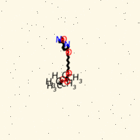 CC(C)(C)OC(=O)C(C)(C)OCCCCCCCOc1ccc(-c2cnco2)nc1